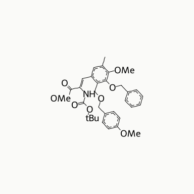 COC(=O)/C(=C/c1cc(C)c(OC)c(OCc2ccccc2)c1COCc1ccc(OC)cc1)NC(=O)OC(C)(C)C